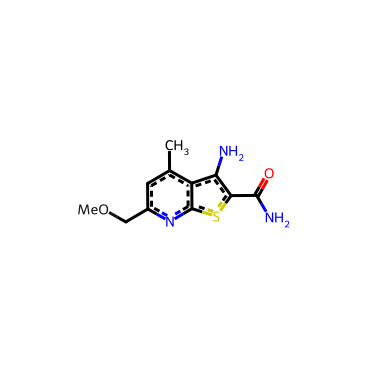 COCc1cc(C)c2c(N)c(C(N)=O)sc2n1